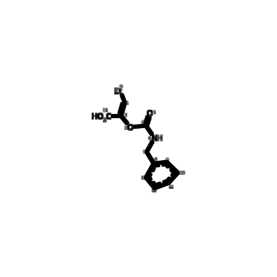 CCC=C(OC(=O)NCc1ccccc1)C(=O)O